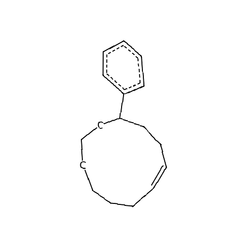 C1=CCCC(c2ccccc2)CCCCCC1